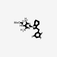 COC(=O)Nc1c(N)nc(-n2nc(Cc3cc(F)cc(F)c3F)c3ccccc32)nc1N